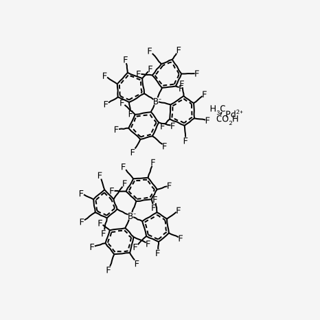 CC(=O)O.Fc1c(F)c(F)c([B-](c2c(F)c(F)c(F)c(F)c2F)(c2c(F)c(F)c(F)c(F)c2F)c2c(F)c(F)c(F)c(F)c2F)c(F)c1F.Fc1c(F)c(F)c([B-](c2c(F)c(F)c(F)c(F)c2F)(c2c(F)c(F)c(F)c(F)c2F)c2c(F)c(F)c(F)c(F)c2F)c(F)c1F.[Pd+2]